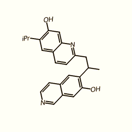 CC(C)c1cc2ccc(CC(C)c3cc4ccncc4cc3O)nc2cc1O